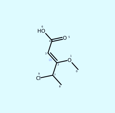 CO/C(=C\C(=O)O)C(C)Cl